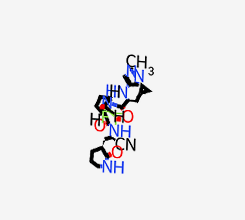 Cn1cc(N[C@@H](CC2CC2)C(=O)N2[C@@H]3CC[C@H]([C@H]2C(=O)N[C@@H](C#N)C[C@H]2CCCNC2=O)C(F)(F)C3)cn1